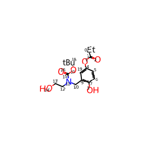 CCC(=O)Oc1ccc(O)c(CN(CCO)C(=O)OC(C)(C)C)c1